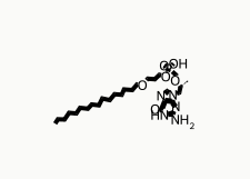 CCCCCCCCCCCCCCCCOCCCOP(=O)(O)CO[C@H](C)Cn1cnc2c(=O)[nH]c(N)nc21